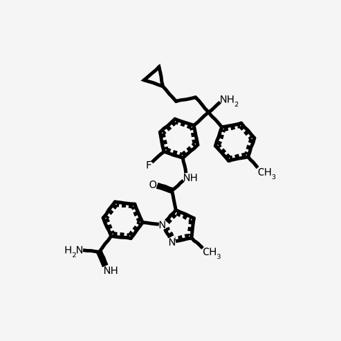 Cc1ccc(C(N)(CCC2CC2)c2ccc(F)c(NC(=O)c3cc(C)nn3-c3cccc(C(=N)N)c3)c2)cc1